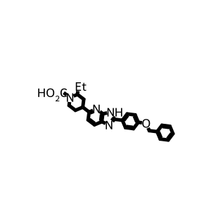 CCC1CC(c2ccc3nc(-c4ccc(OCc5ccccc5)cc4)[nH]c3n2)CCN1C(=O)O